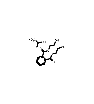 CC(O)C(=O)O.O=C(OCCO)c1ccccc1C(=O)OCCO